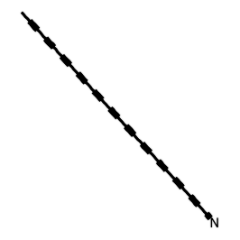 CC#CC#CC#CC#CC#CC#CC#CC#CC#CC#CC#CC#N